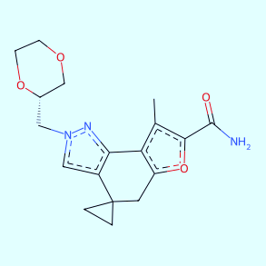 Cc1c(C(N)=O)oc2c1-c1nn(C[C@H]3COCCO3)cc1C1(CC1)C2